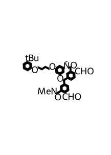 CNC(=O)c1cc(C(=O)c2ccc(C=O)c(C(=O)N(C)c3cccc(OCCCCOc4cccc(C(C)(C)C)c4)c3)c2)ccc1C=O